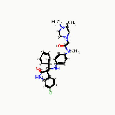 CC1CN(CC(=O)N(C)c2ccc(NC(=C3C(=O)Nc4cc(Cl)ccc43)c3ccccc3)cc2)CCN1C